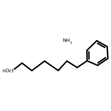 CCCCCCCCCCCCCCc1ccccc1.N